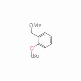 COCc1ccccc1OC(C)(C)C